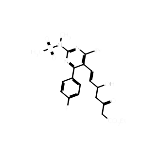 CCOC(=O)CC(=O)CC(O)C=Cc1c(-c2ccc(F)cc2)nc(N(C)S(C)(=O)=O)nc1C(C)C